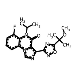 COC(C)(C)c1nc(-c2ncn3c2c(=O)n(C(C)C)c2c(F)cccc23)no1